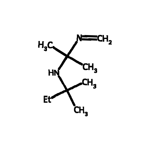 C=NC(C)(C)NC(C)(C)CC